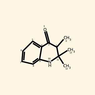 CC1C(=O)c2ccccc2NC1(C)C